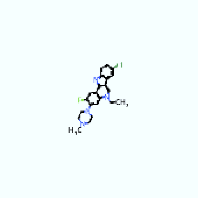 CCn1cc2c3cc(Cl)ccc3nc-2c2cc(F)c(N3CCN(C)CC3)cc21